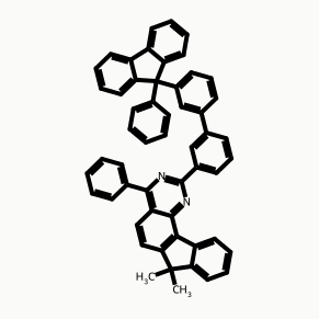 CC1(C)c2ccccc2-c2c1ccc1c(-c3ccccc3)nc(-c3cccc(-c4cccc(C5(c6ccccc6)c6ccccc6-c6ccccc65)c4)c3)nc21